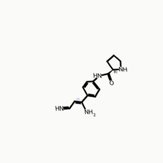 N=C/C=C(\N)c1ccc(NC(=O)[C@H]2CCCN2)cc1